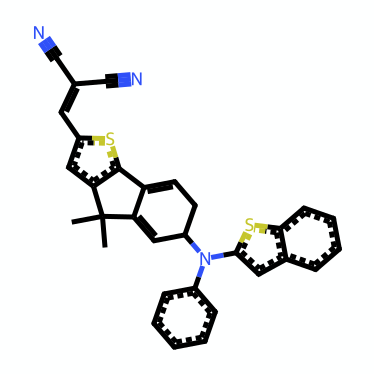 CC1(C)C2=CC(N(c3ccccc3)c3cc4ccccc4s3)CC=C2c2sc(C=C(C#N)C#N)cc21